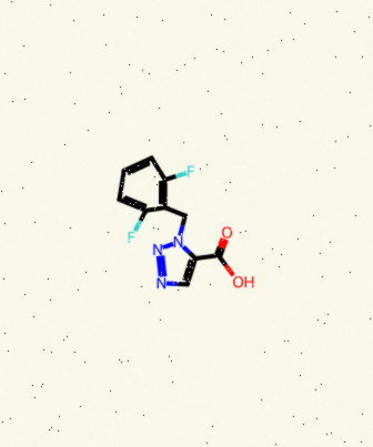 O=C(O)c1cnnn1Cc1c(F)cccc1F